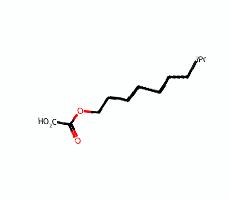 CC(C)CCCCCCCOC(=O)C(=O)O